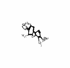 CCCCCCOc1ccc2c(oc3c(C)c(CCCC)ccc32)c1C